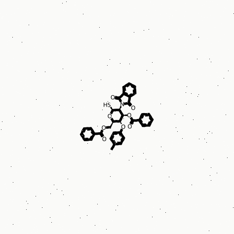 Cc1ccc(O[C@H]2[C@H](OC(=O)c3ccccc3)[C@H](N3C(=O)c4ccccc4C3=O)[C@H](S)O[C@@H]2COC(=O)c2ccccc2)cc1